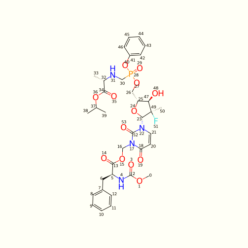 COC(=O)N[C@@H](Cc1ccccc1)C(=O)OCn1c(=O)ccn([C@@H]2O[C@H](COP(=O)(CN[C@@H](C)C(=O)OC(C)C)Oc3ccccc3)[C@@H](O)[C@@]2(C)F)c1=O